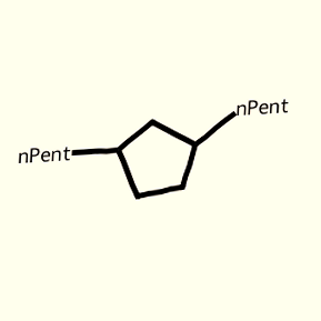 CCCCCC1CCC(CCCCC)C1